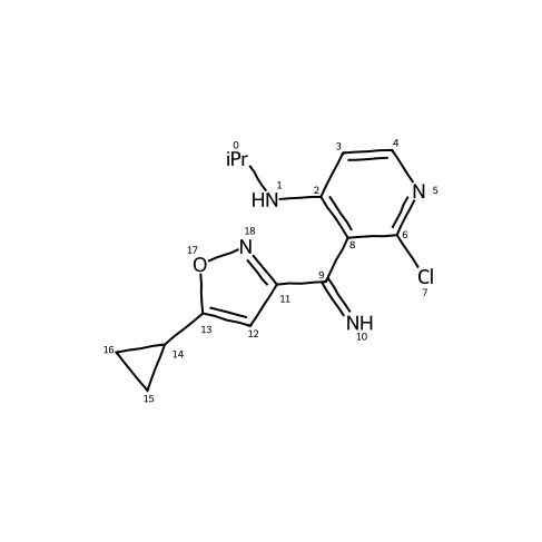 CC(C)Nc1ccnc(Cl)c1C(=N)c1cc(C2CC2)on1